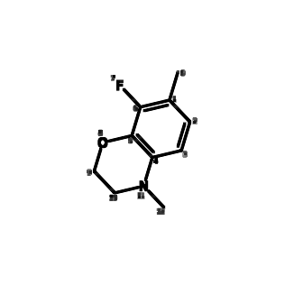 Cc1ccc2c(c1F)OCCN2C